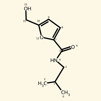 CC(C)CNC(=O)c1ccc(CO)o1